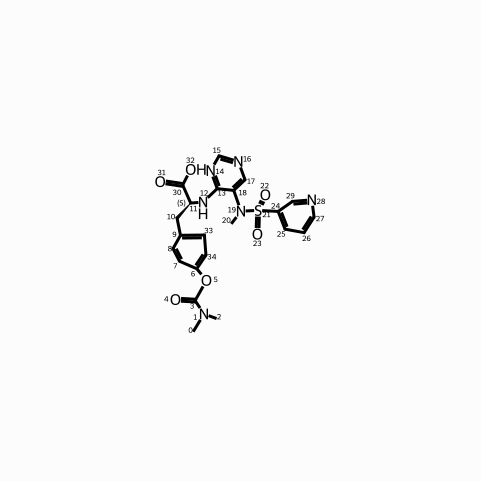 CN(C)C(=O)Oc1ccc(C[C@H](Nc2ncncc2N(C)S(=O)(=O)c2cccnc2)C(=O)O)cc1